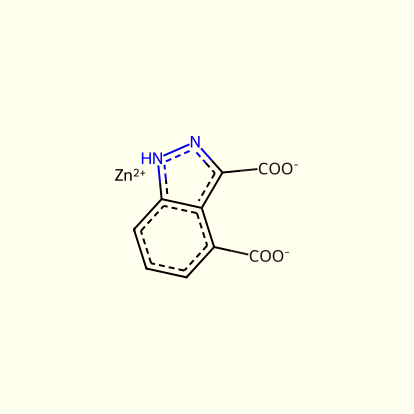 O=C([O-])c1cccc2[nH]nc(C(=O)[O-])c12.[Zn+2]